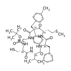 [CH2]NC(=O)[C@](Cc1ccc(C)cc1)(C(=O)[C@H](CCSC)NC(=O)[C@@H](Cc1ccccc1)NC(=O)[C@@H](NC(=O)[C@H](CS)NC(=O)OC(C)(C)C)C(C)C)c1ccccc1